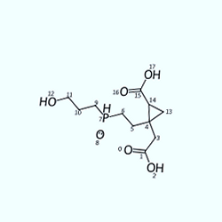 O=C(O)CC1(CC[PH](=O)CCCO)CC1C(=O)O